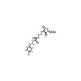 CSC1CC(=O)N(CCCCNC(=O)CCCc2ccc(C)cc2)C1=O